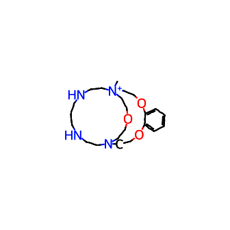 C[N+]12CCNCCCNCCN(CCOCC1)CCOc1ccccc1OCC2